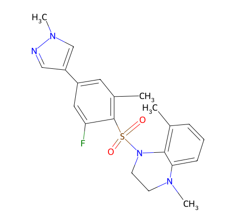 Cc1cccc2c1N(S(=O)(=O)c1c(C)cc(-c3cnn(C)c3)cc1F)CCN2C